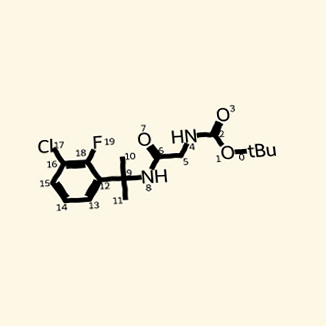 CC(C)(C)OC(=O)NCC(=O)NC(C)(C)c1cccc(Cl)c1F